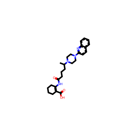 CC(CCCC(=O)NC1=C(C(=O)O)CCCC1)N1CCN(c2ccc3ccccc3n2)CC1